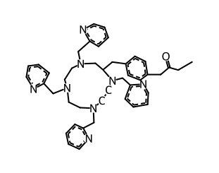 CCC(=O)Cc1ccc(CC2CN(Cc3ccccn3)CCN(Cc3ccccn3)CCN(Cc3ccccn3)CCN2Cc2ccccn2)cc1